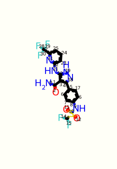 NC(=O)c1c(-c2ccc(NS(=O)(=O)C(F)F)cc2)n[nH]c1Nc1cccc(C(F)(F)F)n1